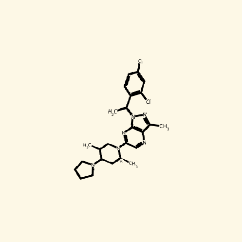 Cc1nn(C(C)c2ccc(Cl)cc2Cl)c2nc(N3CC(C)C(N4CCCC4)C[C@@H]3C)cnc12